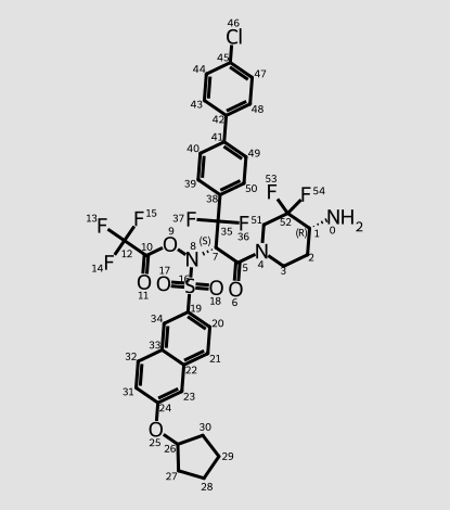 N[C@@H]1CCN(C(=O)[C@H](N(OC(=O)C(F)(F)F)S(=O)(=O)c2ccc3cc(OC4CCCC4)ccc3c2)C(F)(F)c2ccc(-c3ccc(Cl)cc3)cc2)CC1(F)F